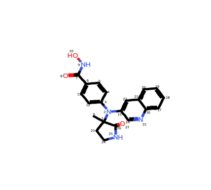 CC1(N(c2ccc(C(=O)NO)cc2)c2cnc3ccccc3c2)CCNC1=O